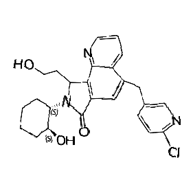 O=C1c2cc(Cc3ccc(Cl)nc3)c3cccnc3c2C(CCO)N1[C@H]1CCCC[C@@H]1O